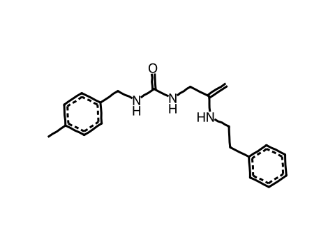 C=C(CNC(=O)NCc1ccc(C)cc1)NCCc1ccccc1